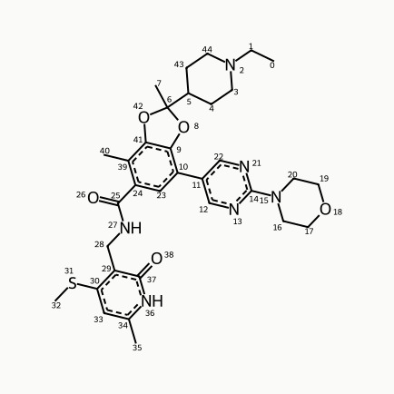 CCN1CCC(C2(C)Oc3c(-c4cnc(N5CCOCC5)nc4)cc(C(=O)NCc4c(SC)cc(C)[nH]c4=O)c(C)c3O2)CC1